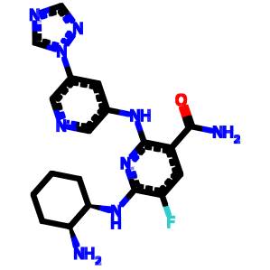 NC(=O)c1cc(F)c(N[C@@H]2CCCC[C@@H]2N)nc1Nc1cncc(-n2cncn2)c1